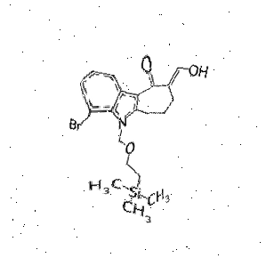 C[Si](C)(C)CCOCn1c2c(c3cccc(Br)c31)C(=O)C(=CO)CCC2